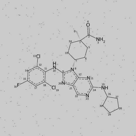 C[C@]1(C(N)=O)CC[C@H](n2c(Nc3c(Cl)cc(F)cc3Cl)nc3cnc(NC4CCCC4)nc32)CC1